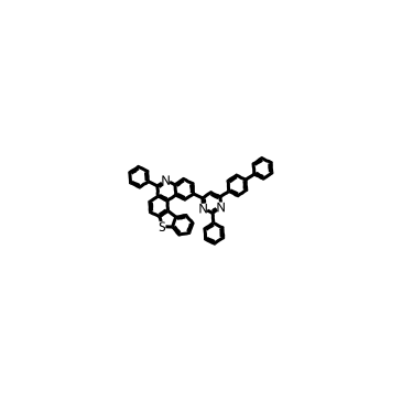 c1ccc(-c2ccc(-c3cc(-c4ccc5nc(-c6ccccc6)c6ccc7sc8ccccc8c7c6c5c4)nc(-c4ccccc4)n3)cc2)cc1